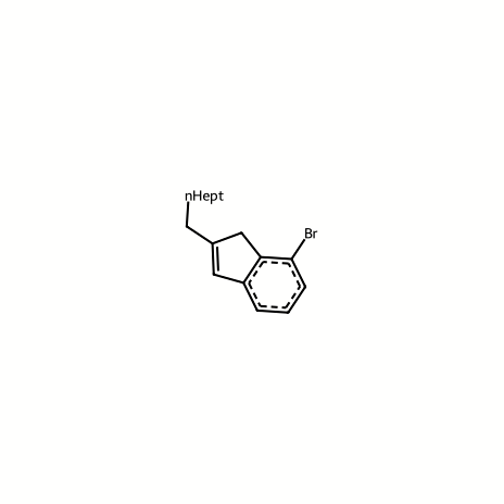 CCCCCCCCC1=Cc2cccc(Br)c2C1